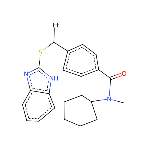 CCC(Sc1nc2ccccc2[nH]1)c1ccc(C(=O)N(C)C2CCCCC2)cc1